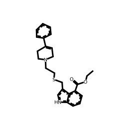 CCOC(=O)c1cccc2[nH]cc(CSCCN3CC=C(c4ccccc4)CC3)c12